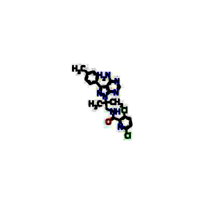 Cc1ccc(-c2nn(C(C)(C)CNC(=O)c3nc(Cl)ccc3Cl)c3ncnc(N)c23)cc1